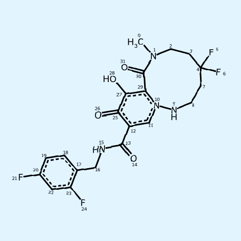 CN1CCC(F)(F)CCNn2cc(C(=O)NCc3ccc(F)cc3F)c(=O)c(O)c2C1=O